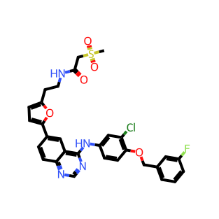 CS(=O)(=O)CC(=O)NCCc1ccc(-c2ccc3ncnc(Nc4ccc(OCc5cccc(F)c5)c(Cl)c4)c3c2)o1